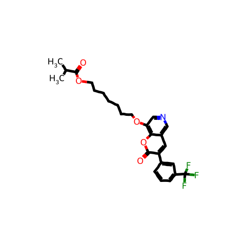 CC(C)C(=O)OCCCCCCCOc1cncc2cc(-c3cccc(C(F)(F)F)c3)c(=O)oc12